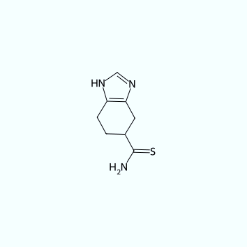 NC(=S)C1CCc2[nH]cnc2C1